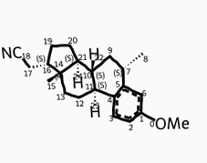 COc1ccc2c(c1)[C@@H](C)C[C@@H]1[C@@H]2CC[C@]2(C)[C@H](CC#N)CC[C@@H]12